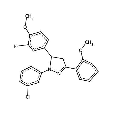 COc1ccc(C2CC(c3ccccc3OC)=NN2c2cccc(Cl)c2)cc1F